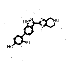 CCc1cc(O)ccc1-c1ccc2c(-c3nc4c([nH]3)CCNC4)n[nH]c2c1